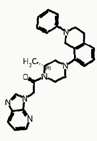 C[C@@H]1CN(c2cccc3c2CN(c2ccccc2)CC3)CCN1C(=O)Cn1cnc2cccnc21